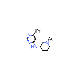 CC(=O)N1CCC[C@H](Nc2cc(C(C)C)ncn2)C1